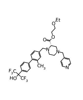 CCOCCOC(=O)[C@@H]1CN(Cc2ccncc2)CCN1Cc1ccc(-c2ccc(C(O)(C(F)(F)F)C(F)(F)F)cc2)c(C)c1